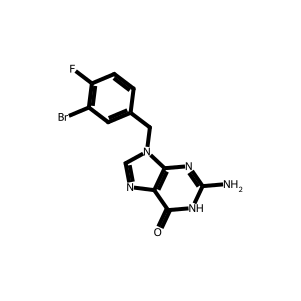 Nc1nc2c(ncn2Cc2ccc(F)c(Br)c2)c(=O)[nH]1